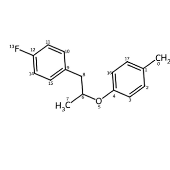 [CH2]c1ccc(OC(C)Cc2ccc(F)cc2)cc1